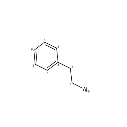 [Al][CH2]Cc1ccccc1